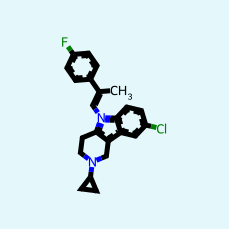 C/C(=C\n1c2c(c3cc(Cl)ccc31)CN(C1CC1)CC2)c1ccc(F)cc1